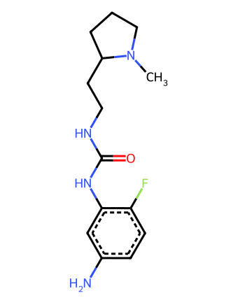 CN1CCCC1CCNC(=O)Nc1cc(N)ccc1F